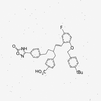 CC(C)(C)c1ccc(COc2ccc(F)cc2/C=C/C(CCc2ccc(-c3noc(=O)[nH]3)cc2)Cc2ccc(C(=O)O)cc2)cc1